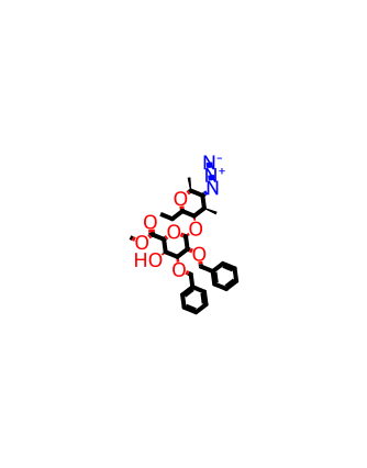 CCC1O[C@@H](C)C(N=[N+]=[N-])[C@@H](C)[C@@H]1O[C@@H]1OC(C(=O)OC)[C@@H](O)[C@H](OCc2ccccc2)C1OCc1ccccc1